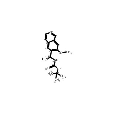 COc1cc2cnccc2cc1C(N)NC(=O)OC(C)(C)C